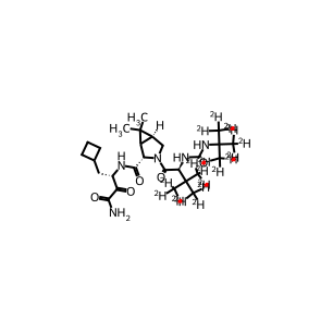 [2H]C([2H])([2H])C(NC(=O)N[C@H](C(=O)N1C[C@H]2C([C@H]1C(=O)N[C@@H](CC1CCC1)C(=O)C(N)=O)C2(C)C)C(C([2H])([2H])[2H])(C([2H])([2H])[2H])C([2H])([2H])[2H])(C([2H])([2H])[2H])C([2H])([2H])[2H]